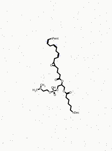 CCCCC/C=C\C/C=C\C/C=C\CC1OC1CCCC(=O)OC(COC(=O)CCCCCCCCCCCCCCC)COP(=O)(O)OCCN(C)C